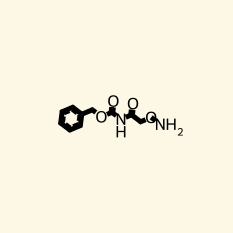 NOCC(=O)NC(=O)OCc1ccccc1